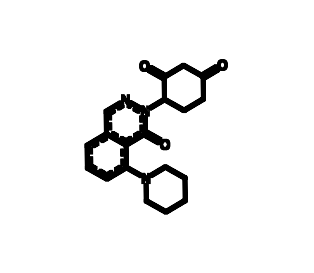 O=C1CCC(n2ncc3cccc(N4CCCCC4)c3c2=O)C(=O)C1